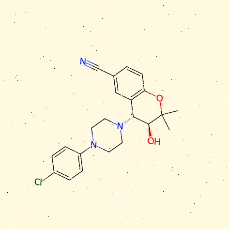 CC1(C)Oc2ccc(C#N)cc2[C@@H](N2CCN(c3ccc(Cl)cc3)CC2)[C@@H]1O